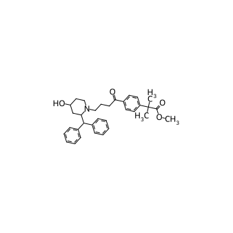 COC(=O)C(C)(C)c1ccc(C(=O)CCCN2CCC(O)CC2C(c2ccccc2)c2ccccc2)cc1